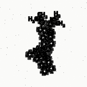 Cc1cc2ccc(-c3cccc4c(-c5cccc6c5-c5c(ccc7ccccc57)C65c6ccccc6-c6cc(-c7ccc8c(c7)nc(-c7ccccc7)n8-c7cccc8c(-c9cccc%10c9-c9c(ccc%11ccccc9%11)C%109c%10ccccc%10-c%10ccccc%109)c9cccc(-n%10c(-c%11ccccc%11)nc%11ccccc%11%10)c9cc78)ccc65)c5cccc(-c6ccc7nc(C)n(C)c7c6)c5cc34)cc2n1C